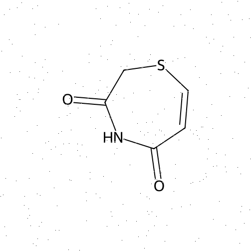 O=C1C=CSCC(=O)N1